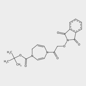 CC(C)(C)OC(=O)N1C=CN(C(=O)CON2C(=O)c3ccccc3C2=O)C=CC1